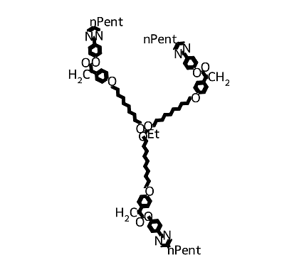 C=C(C(=O)Oc1ccc(-c2ncc(CCCCC)cn2)cc1)c1ccc(OCCCCCCCCCCOC(CC)(OCCCCCCCCCCOc2ccc(C(=C)C(=O)Oc3ccc(-c4ncc(CCCCC)cn4)cc3)cc2)OCCCCCCCCCCOc2ccc(C(=C)C(=O)Oc3ccc(-c4ncc(CCCCC)cn4)cc3)cc2)cc1